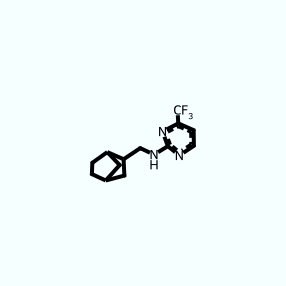 FC(F)(F)c1ccnc(NCC2CC3CCC2C3)n1